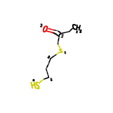 CC(=O)SCCS